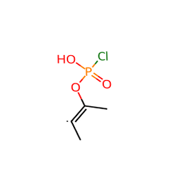 C/[C]=C(\C)OP(=O)(O)Cl